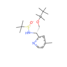 Cc1ccnc([C@@H](CO[Si](C)(C)C(C)(C)C)N[S+]([O-])C(C)(C)C)c1